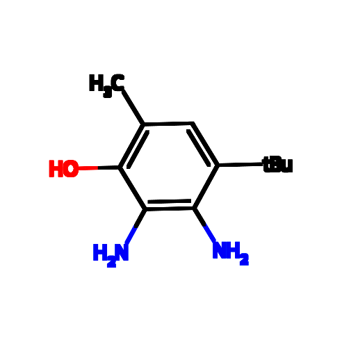 Cc1cc(C(C)(C)C)c(N)c(N)c1O